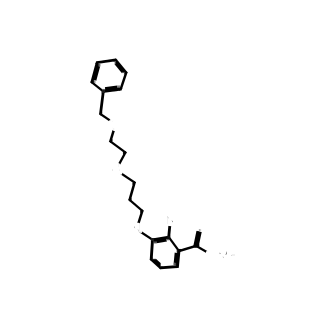 COC(=O)c1cccc(NCCCOCCOCc2ccccc2)c1N